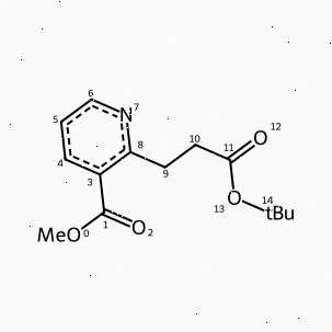 COC(=O)c1cccnc1CCC(=O)OC(C)(C)C